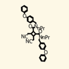 CCCN(Cc1ccc(Oc2ccccc2)cc1)C(=O)C1C(CC#N)C(CC#N)C1C(=O)N(CCC)Cc1ccc(Oc2ccccc2)cc1